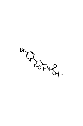 CC(C)(C)OC(=O)NC[C@@H]1CC(c2ccc(Br)cn2)=NO1